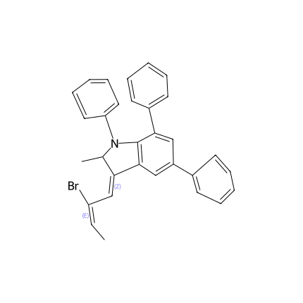 C/C=C(Br)\C=C1\c2cc(-c3ccccc3)cc(-c3ccccc3)c2N(c2ccccc2)C1C